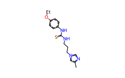 CCOc1ccc(NC(=S)NCCCn2cnc(C)c2)cc1